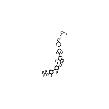 CCCCOC1CCC(C2COC(c3cc(F)c(C(F)(F)Oc4ccc(-c5ccc(OC(F)(F)F)c(F)c5)c(F)c4)c(F)c3)OC2)CC1